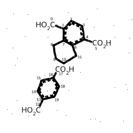 O=C(O)c1ccc(C(=O)O)c2c1CCCC2.O=C(O)c1ccc(C(=O)O)cc1